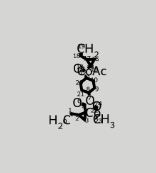 C=CC1C[C]1(C(=O)OC1CC[CH]([Co](=[O])[C]2(C(C)=O)CC2C=C)CC1)[Co]([CH3])=[O]